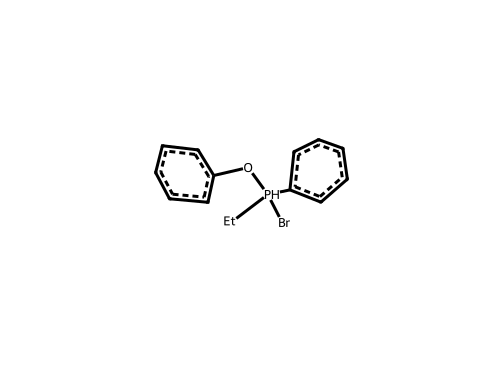 CC[PH](Br)(Oc1ccccc1)c1ccccc1